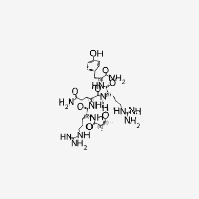 C[C@H](C(=O)N[C@@H](CCCNC(=N)N)C(=O)N[C@@H](CCC(N)=O)C(=O)N(C)[C@@H](CCCNC(=N)N)C(=O)N[C@@H](Cc1ccc(O)cc1)C(N)=O)[C@@H](C)O